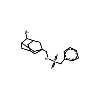 CC(C)(C)C1C2CC3CC1CC(CNS(=O)(=O)Cc1ccccc1)(C3)C2